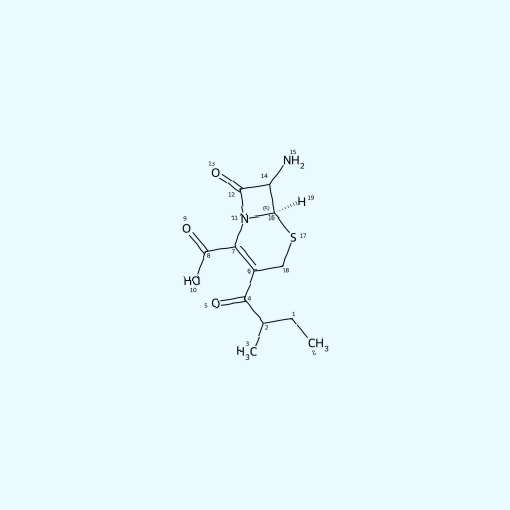 CCC(C)C(=O)C1=C(C(=O)O)N2C(=O)C(N)[C@H]2SC1